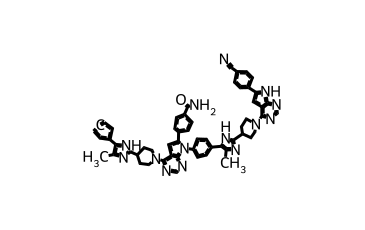 Cc1nc(C2CCN(c3ncnc4[nH]c(-c5ccc(C#N)cc5)cc34)CC2)[nH]c1-c1ccc(-n2c(-c3ccc(C(N)=O)cc3)cc3c(N4CCC(c5nc(C)c(-c6ccccc6)[nH]5)CC4)ncnc32)cc1